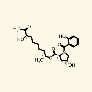 C[C@H](CCCCC[C@@H](O)C(N)=O)OC(=O)[C@@H]1C[C@@H](O)CN1C(=O)c1ccccc1O